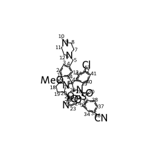 COc1ccc(CN2CCN(C)CC2)cc1C1(N2CCCC2c2ncco2)C(=O)N(S(=O)(=O)c2ccc(C#N)cc2)c2ccc(Cl)cc21